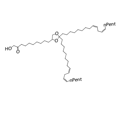 CCCCC/C=C\C/C=C\CCCCCCCCC1(CCCCCCCC/C=C\C/C=C\CCCCC)OCC(CCCCCCCCC(=O)CO)O1